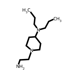 CCCN(CCC)C1CCN(CCN)CC1